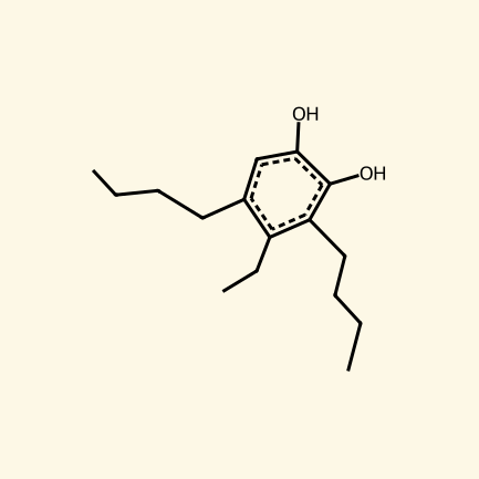 CCCCc1cc(O)c(O)c(CCCC)c1CC